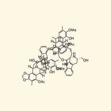 COc1c(C)cc2c(c1O)[C@H]1N[C@@H](C2C)[C@H](O)N2[C@H]1[C@@H]1SC[C@]3(N[C@H](CO)Cc4c3oc3cccc(C5Oc6c(C)c(OC(C)=O)c7c(c6O5)[C@@H]5COC(=O)[C@]6(CS[C@H]7[C@H]7[C@@H]8N[C@@H](C(C)c9cc(C)c(OC)c(O)c98)[C@H](O)N75)N[C@H](CO)Cc5c6[nH]c6ccccc56)c43)C(=O)OC[C@H]2c2c3c(c(C)c(OC(C)=O)c21)OCO3